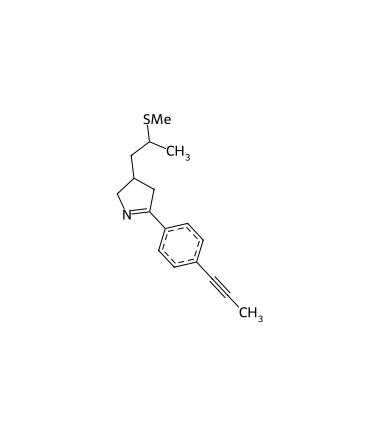 CC#Cc1ccc(C2=NCC(CC(C)SC)C2)cc1